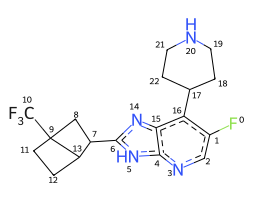 Fc1cnc2[nH]c(C3CC4(C(F)(F)F)CCC34)nc2c1C1CCNCC1